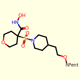 CCCCCOCCC1CCN(S(=O)(=O)C2(C(=O)NO)CCOCC2)CC1